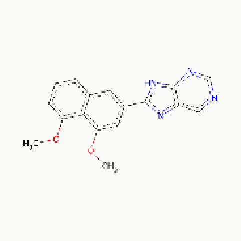 COc1cccc2cc(-c3nc4cncnc4[nH]3)cc(OC)c12